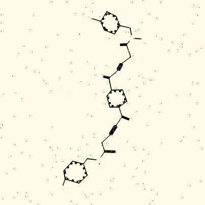 CN(Cc1ccc(N)cc1)C(=O)CC#CC(=O)c1ccc(C(=O)C#CCC(=O)N(C)Cc2ccc(N)cc2)cc1.Cl.Cl